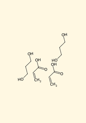 C=CC(=O)O.C=CC(=O)O.OCCCO.OCCCO